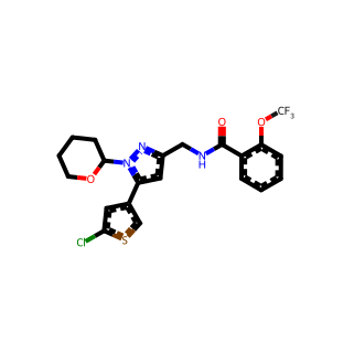 O=C(NCc1cc(-c2csc(Cl)c2)n(C2CCCCO2)n1)c1ccccc1OC(F)(F)F